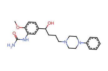 COc1ccc(C(O)CCCN2CCN(c3ccccc3)CC2)cc1NC(N)=O